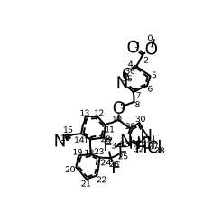 COC(=O)c1ccc(COC(c2ccc(C#N)c(-c3ccccc3C(F)(F)F)c2)c2cncn2C)nc1.Cl.Cl